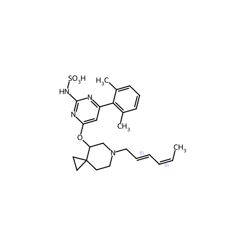 C/C=C\C=C\CN1CCC2(CC2)C(Oc2cc(-c3c(C)cccc3C)nc(NS(=O)(=O)O)n2)C1